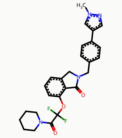 Cn1cc(-c2ccc(CN3Cc4cccc(OC(F)(F)C(=O)N5CCCCC5)c4C3=O)cc2)cn1